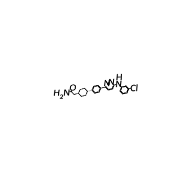 NC(=O)C[C@H]1CC[C@H](c2ccc(-c3ccc(Nc4cccc(Cl)c4)nn3)cc2)CC1